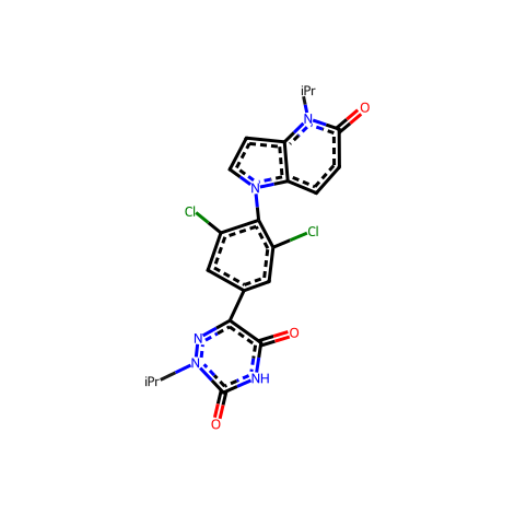 CC(C)n1nc(-c2cc(Cl)c(-n3ccc4c3ccc(=O)n4C(C)C)c(Cl)c2)c(=O)[nH]c1=O